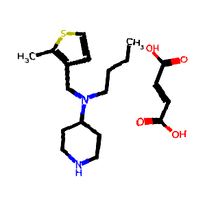 CCCCN(Cc1ccsc1C)C1CCNCC1.O=C(O)C=CC(=O)O